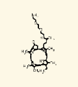 C=Cc1c(C)c2cc3nc(c4c5[nH]c(cc6nc(cc1[nH]2)C(C)=C6C)c(C)c5C(=O)C4)C(CCC(=C)NCCOCCOCCN)=C3C